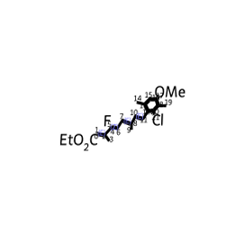 CCOC(=O)/C=C(C)/C(F)=C/C=C(C)/C=C/c1c(C)cc(OC)c(C)c1Cl